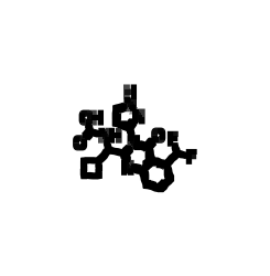 O=C(O)NC(c1nc2cccc(C(F)F)c2c(=O)n1-c1cc[nH]n1)C1CCC1